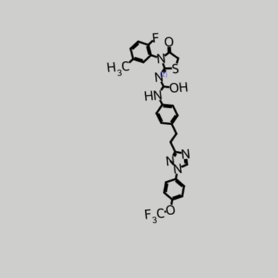 Cc1ccc(F)c(N2C(=O)CS/C2=N\C(O)Nc2ccc(CCc3ncn(-c4ccc(OC(F)(F)F)cc4)n3)cc2)c1